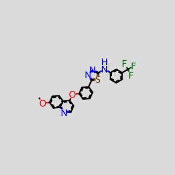 COc1ccc2c(Oc3cccc(-c4nnc(Nc5cccc(C(F)(F)F)c5)s4)c3)ccnc2c1